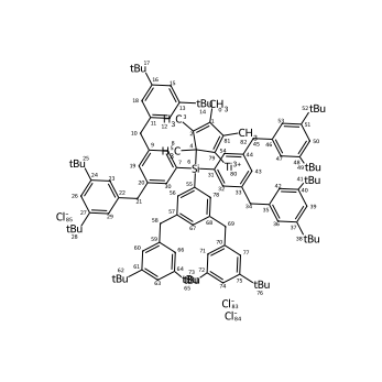 CC1=C(C)C(C)([Si](c2cc(Cc3cc(C(C)(C)C)cc(C(C)(C)C)c3)cc(Cc3cc(C(C)(C)C)cc(C(C)(C)C)c3)c2)(c2cc(Cc3cc(C(C)(C)C)cc(C(C)(C)C)c3)cc(Cc3cc(C(C)(C)C)cc(C(C)(C)C)c3)c2)c2cc(Cc3cc(C(C)(C)C)cc(C(C)(C)C)c3)cc(Cc3cc(C(C)(C)C)cc(C(C)(C)C)c3)c2)[C]([Ti+3])=C1C.[Cl-].[Cl-].[Cl-]